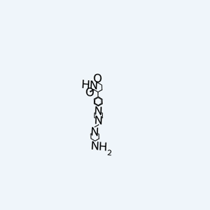 NC1CCN(CCN2CCN(c3ccc(C4CCC(=O)NC4=O)cc3)CC2)CC1